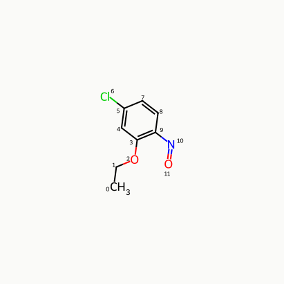 CCOc1cc(Cl)ccc1N=O